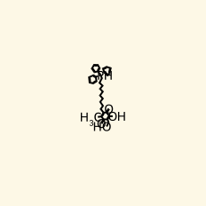 CC1=C(CCCCCCCCCC[PH](c2ccccc2)(c2ccccc2)c2ccccc2)C(=O)C(O)=C(CO)C1=O